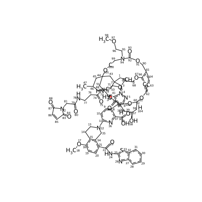 CCC1(Cn2ncc(-c3ccc(N4CCc5c(OC)ccc(C(=O)Nc6nc7ccccc7s6)c5C4)nc3C(=O)O)c2C)CC23CC(C)CC(C1)(C2)OC(=O)[C@@H]1C[C@H](O)C[C@H](Oc2ccc(c(OCCOCCNC(=O)CCNC(=O)CN4C(=O)C=CC4=O)c2)COC(=O)N(CCOC)CCO3)O1